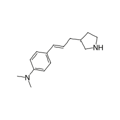 CN(C)c1ccc(/C=C/C[C]2CCNC2)cc1